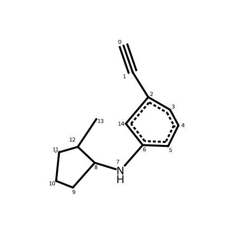 C#Cc1cccc(NC2CC[CH]C2C)c1